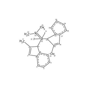 CC1=Cc2ccccc2[CH]1[Zr]([I])([I])([CH]1C(C)=Cc2ccccc21)=[Si](C)C